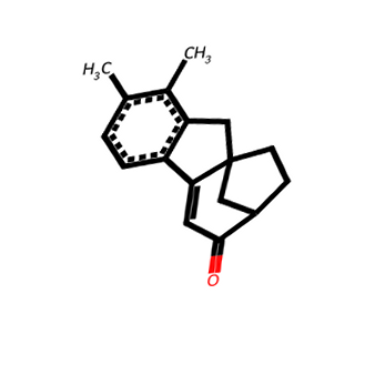 Cc1ccc2c(c1C)CC13CCC(C1)C(=O)C=C23